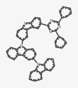 c1ccc(-c2nc(-c3ccccc3)nc(-c3ccc4sc5ccc(-n6c7ccccc7c7cc(-n8c9ccccc9c9ccccc98)ccc76)cc5c4c3)n2)cc1